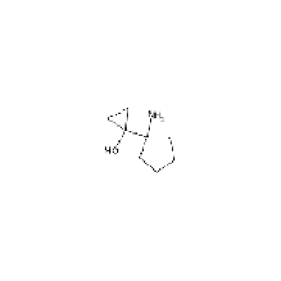 NC1(C2(O)CC2)CCCC1